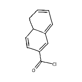 O=C(Cl)C1=CC2=CC=CCC2C=C1